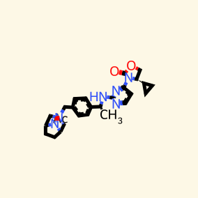 CC(=O)N1C2CCC1CN(Cc1ccc([C@H](C)Nc3nccc(N4C(=O)OC[C@@H]4C4CC4)n3)cc1)C2